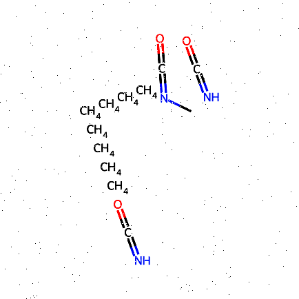 C.C.C.C.C.C.C.C.CN=C=O.N=C=O.N=C=O